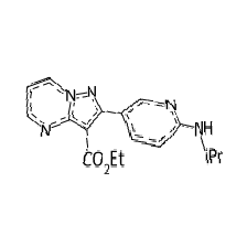 CCOC(=O)c1c(-c2ccc(NC(C)C)nc2)nn2cccnc12